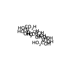 C[C@]12CC[C@@H](OC3O[C@H](C(=O)O)[C@@H](O)[C@H](O)[C@H]3O)C[C@@H]1CC[C@@H]1[C@@H]2[C@H](O)C[C@]2(C)[C@@H](C(=O)COC3O[C@H](C(=O)O)[C@@H](O)[C@H](O)[C@H]3O)CC[C@@H]12